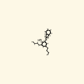 CCCCc1cc(CCCC)c(O)c(-n2n3c4ccccc4n23)c1